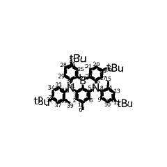 Cc1cc2c3c(c1)N(c1ccc(C(C)(C)C)cc1C)c1cc(C(C)(C)C)ccc1B3c1cc(C(C)(C)C)ccc1N2c1ccc(C(C)(C)C)cc1C